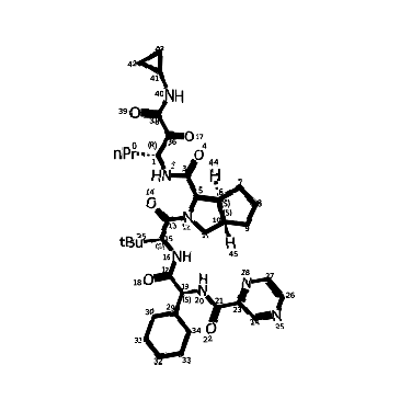 CCC[C@@H](NC(=O)C1[C@H]2CCC[C@@H]2CN1C(=O)[C@@H](NC(=O)[C@@H](NC(=O)c1cnccn1)C1CCCCC1)C(C)(C)C)C(=O)C(=O)NC1CC1